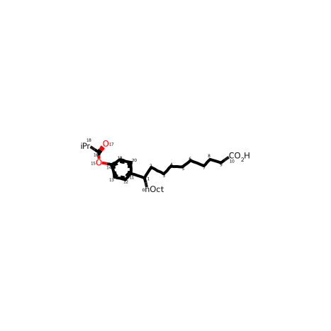 CCCCCCCCC(CCCCCCCCC(=O)O)c1ccc(OC(=O)C(C)C)cc1